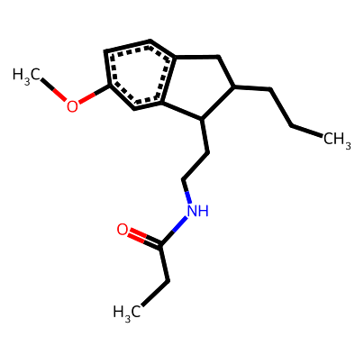 CCCC1Cc2ccc(OC)cc2C1CCNC(=O)CC